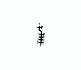 FC(F)(F)CCC(F)(F)C(F)(F)C(F)(F)C(F)(F)F